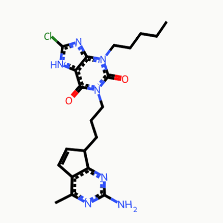 CCCCCn1c(=O)n(CCCC2C=Cc3c(C)nc(N)nc32)c(=O)c2[nH]c(Cl)nc21